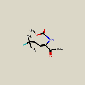 COC(=O)C(=CCC(C)(C)F)NC(=O)OC(C)(C)C